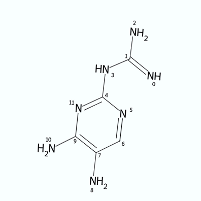 N=C(N)Nc1ncc(N)c(N)n1